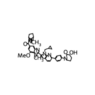 COc1cc(C(=O)N2CC3CCC2[C@@H]3C)cc2nc(-c3cc4ccc(-c5ccc(N6CCCC(O)C6=O)cc5)nc4n3CC3CC3)n(C)c12